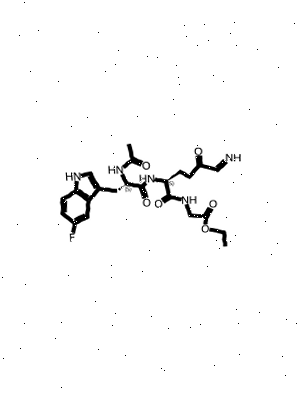 CCOC(=O)CNC(=O)[C@H](CCC(=O)C=N)NC(=O)[C@H](Cc1c[nH]c2ccc(F)cc12)NC(C)=O